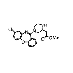 COC(=O)CC1CN(C2=Nc3cc(Cl)ccc3Oc3ccccc32)CCN1